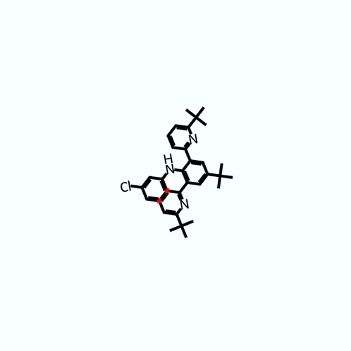 CC(C)(C)c1cc(-c2cccc(C(C)(C)C)n2)c(Nc2cccc(Cl)c2)c(-c2cccc(C(C)(C)C)n2)c1